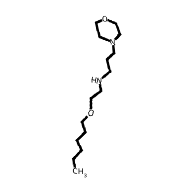 CCCCCCOCCNCCCN1CCOCC1